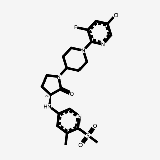 Cc1cc(N[C@H]2CCN(C3CCN(c4ncc(Cl)cc4F)CC3)C2=O)cnc1S(C)(=O)=O